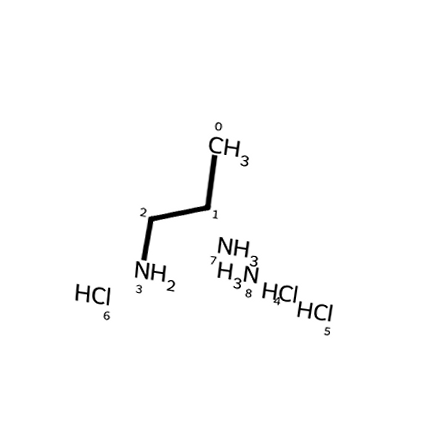 CCCN.Cl.Cl.Cl.N.N